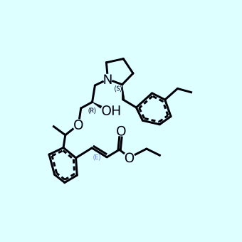 CCOC(=O)/C=C/c1ccccc1C(C)OC[C@H](O)CN1CCC[C@H]1Cc1cccc(CC)c1